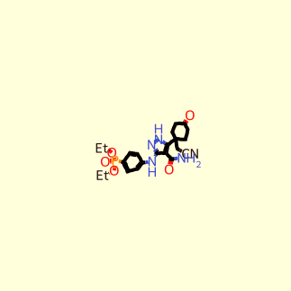 CCOP(=O)(OCC)c1ccc(Nc2n[nH]c(C3(CC#N)CCC(=O)CC3)c2C(N)=O)cc1